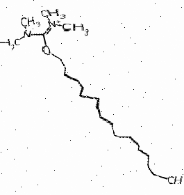 CCCCCCCCCCCCCOC(N(C)C)=[N+](C)C